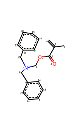 C=C(C)C(=O)OCN(Cc1ccccc1)Cc1ccccc1